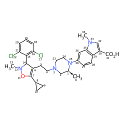 C[C@H]1CN(CCC2=C(C3CC3)ON(C)C2c2c(Cl)cccc2Cl)CCN1c1ccc2c(C(=O)O)cn(C)c2c1